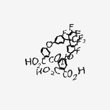 O=C(O)c1ccc(Oc2ccc(C(C(F)=C(F)F)(c3ccc(Oc4ccc(C(=O)O)c(C(=O)O)c4)c(F)c3F)C(F)(F)F)cc2)cc1C(=O)O